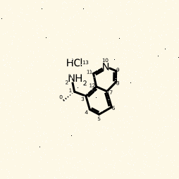 C[C@H](N)c1cccc2ccncc12.Cl